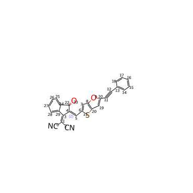 N#CC(C#N)=C1/C(=C/c2cc3oc(C#Cc4ccccc4)cc3s2)C(=O)c2ccccc21